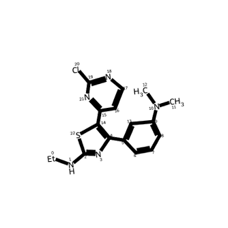 CCNc1nc(-c2cccc(N(C)C)c2)c(-c2ccnc(Cl)n2)s1